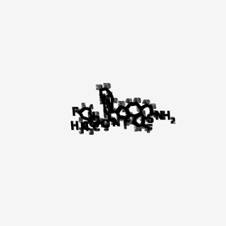 C[C@@H](CN1CCC(F)CC1(C)C)Oc1nc(N2CC3CCC(C2)N3)c2cc3c(c(F)c2n1)-c1ccc(F)c2c1C(C=C3)CC=C(N)S2